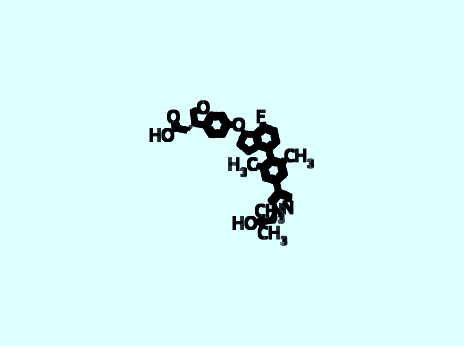 Cc1cc(-c2cnn(CC(C)(C)O)c2)cc(C)c1-c1ccc(F)c2c1CC[C@H]2Oc1ccc2c(c1)OC[C@H]2CC(=O)O